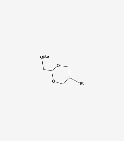 CCC1COC(COC)OC1